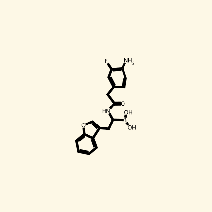 Nc1ccc(CC(=O)NC(Cc2coc3ccccc23)B(O)O)cc1F